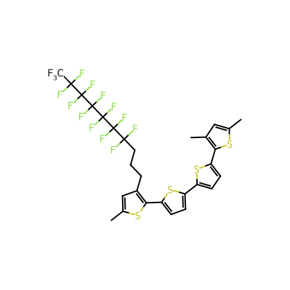 Cc1cc(C)c(-c2ccc(-c3ccc(-c4sc(C)cc4CCCC(F)(F)C(F)(F)C(F)(F)C(F)(F)C(F)(F)C(F)(F)C(F)(F)F)s3)s2)s1